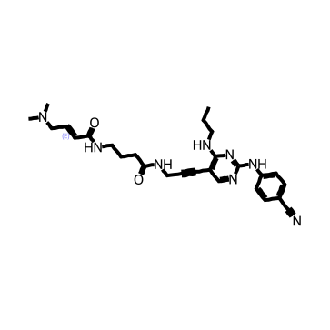 CCCNc1nc(Nc2ccc(C#N)cc2)ncc1C#CCNC(=O)CCCNC(=O)/C=C/CN(C)C